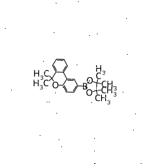 CC1(C)Oc2ccc(B3OC(C)(C)C(C)(C)O3)cc2-c2ccccc21